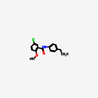 CCCCOc1ccc(Cl)cc1C(=O)Nc1ccc(CC(=O)O)cc1